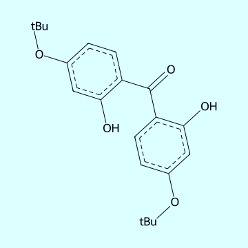 CC(C)(C)Oc1ccc(C(=O)c2ccc(OC(C)(C)C)cc2O)c(O)c1